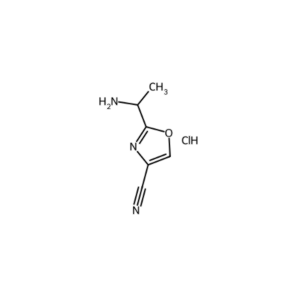 CC(N)c1nc(C#N)co1.Cl